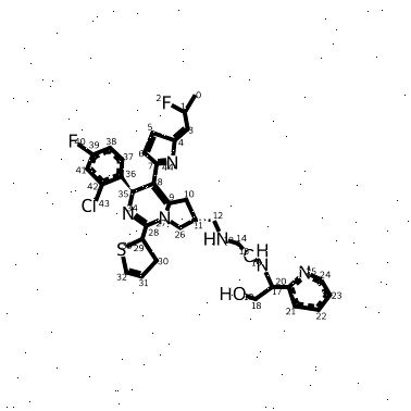 CC(F)/C=C1\C=CC(C2=C3C[C@H](CNCCNC(CO)c4ccccn4)CN3C(C3CC=CS3)=N[C@H]2c2ccc(F)cc2Cl)=N1